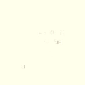 Cn1c(NC(=O)C2CC2c2ccc(Cl)cc2)nc2ccccc21